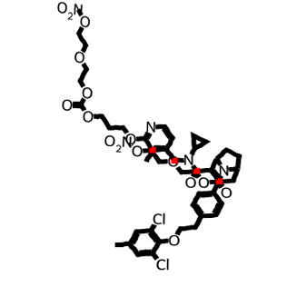 Cc1cc(Cl)c(OCCc2ccc(C3=C(C(=O)N(Cc4ccnc(OCCCOC(=O)OCCOCCO[N+](=O)[O-])c4C)C4CC4)C4CCC(C3)N4C(=O)OCCOCCO[N+](=O)[O-])cc2)c(Cl)c1